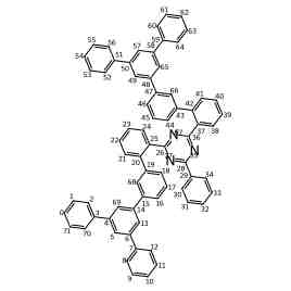 c1ccc(-c2cc(-c3ccccc3)cc(-c3cccc(-c4ccccc4-c4nc(-c5ccccc5)nc(-c5ccccc5-c5cccc(-c6cc(-c7ccccc7)cc(-c7ccccc7)c6)c5)n4)c3)c2)cc1